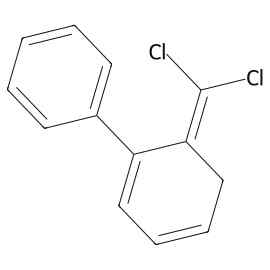 ClC(Cl)=C1CC=CC=C1c1ccccc1